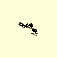 COC(=O)CC1COc2cc(NCc3cccc(-c4c(C)cc(OCC5(O)CCS(=O)(=O)CC5)cc4C)c3)ccc21